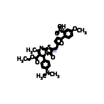 CCOC(=O)C1=C(C)N=c2s/c(=C\c3ccc(-c4ccc(OC)cc4[N+](=O)O)o3)c(=O)n2C1c1ccc(N(C)C)cc1